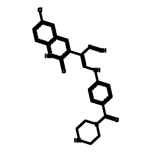 N=N/C(=C\Nc1ccc(C(=O)N2CCNCC2)cc1)c1cc2cc(Cl)ccc2[nH]c1=O